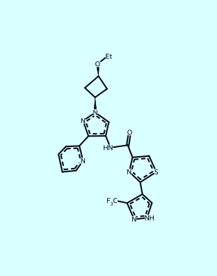 CCO[C@H]1C[C@@H](n2cc(NC(=O)c3csc(-c4c[nH]nc4C(F)(F)F)n3)c(-c3ccccn3)n2)C1